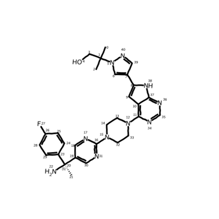 CC(C)(CO)n1cc(-c2cc3c(N4CCN(c5ncc([C@@](C)(N)c6ccc(F)cc6)cn5)CC4)ncnc3[nH]2)cn1